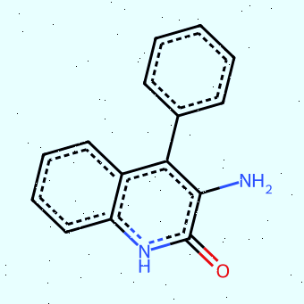 Nc1c(-c2ccccc2)c2ccccc2[nH]c1=O